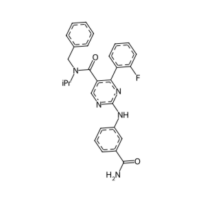 CC(C)N(Cc1ccccc1)C(=O)c1cnc(Nc2cccc(C(N)=O)c2)nc1-c1ccccc1F